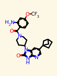 Nc1cc(OC(F)(F)F)ccc1C(=O)N1CCC(n2c(=O)[nH]c3ncc(C45CCC(C4)C5)cc32)CC1